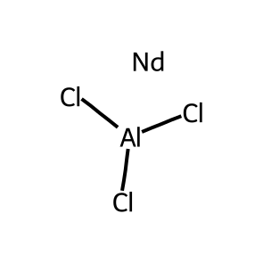 [Cl][Al]([Cl])[Cl].[Nd]